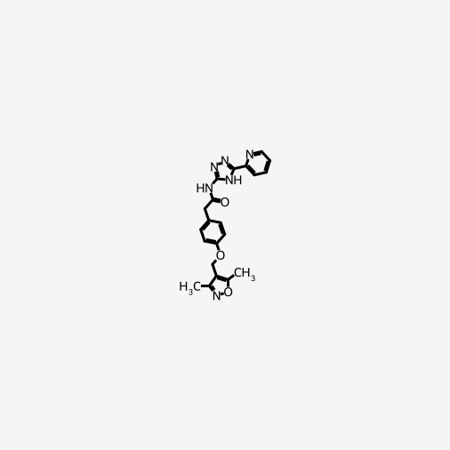 Cc1noc(C)c1COc1ccc(CC(=O)Nc2nnc(-c3ccccn3)[nH]2)cc1